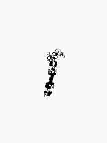 CC(C)(C)OC(=O)N1CCN(c2ncc(C#Cc3ccc(-n4ccnc4)nc3)cn2)C[C@@H]1CO